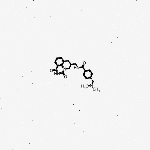 CN(C)Cc1ccc(C(=O)NCC2Cc3cccc4c(=O)[nH]c(=O)n(c34)C2)cc1